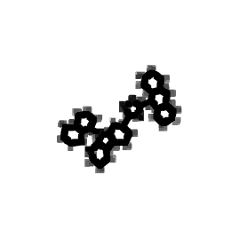 c1ccc2c(-n3c4cc(-c5nsc(-c6c7ccccc7cc7ccccc67)n5)ccc4c4cccnc43)cccc2c1